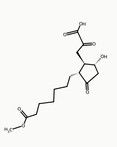 COC(=O)CCCCCC[C@H]1C(=O)C[C@@H](O)[C@@H]1CC(=O)C(=O)O